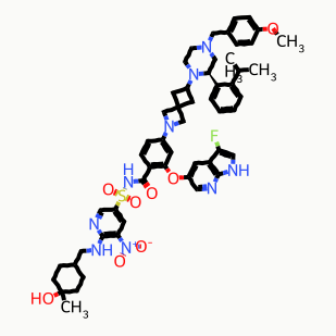 COc1ccc(CN2CCN(C3CC4(C3)CN(c3ccc(C(=O)NS(=O)(=O)c5cnc(NCC6CCC(C)(O)CC6)c([N+](=O)[O-])c5)c(Oc5cnc6[nH]cc(F)c6c5)c3)C4)[C@H](c3ccccc3C(C)C)C2)cc1